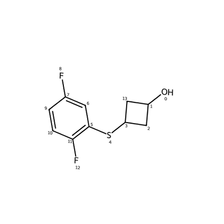 OC1CC(Sc2cc(F)ccc2F)C1